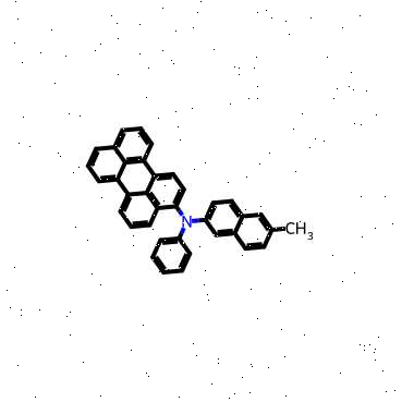 Cc1ccc2cc(N(c3ccccc3)c3ccc4c5cccc6cccc(c7cccc3c74)c65)ccc2c1